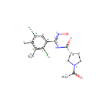 COC(=O)N1CC[C@@H](C(=O)N/C(=N\O)c2cc(F)c(C)c([N+](=O)[O-])c2F)C1